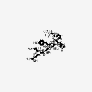 CCC(C)[C@H](NC(=O)C(Cc1ccc(O)cc1)NC(=O)[C@@H](NC(=O)[C@H](CCCNC(=N)N)NC(=O)CNC)C(C)C)C(=O)N[C@@H](Cc1c[nH]cn1)C(=O)N1CCC[C@H]1C(=O)N[C@H](C)C(=O)O